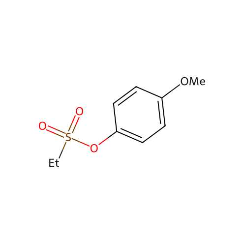 CCS(=O)(=O)Oc1ccc(OC)cc1